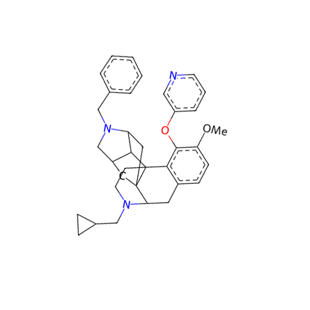 COc1ccc2c(c1Oc1cccnc1)C13CCN(CC4CC4)C(C2)C12CC1CN(Cc4ccccc4)C(C2)C13